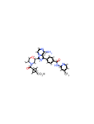 C[C@H]1CO[C@@H](c2nc(-c3ccc(C(=O)Nc4cc(C(F)(F)F)ccn4)cc3)c3c(N)nccn23)CN1C(=O)C12CC1(C(=O)O)C2